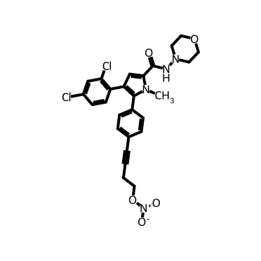 Cn1c(C(=O)NN2CCOCC2)cc(-c2ccc(Cl)cc2Cl)c1-c1ccc(C#CCCO[N+](=O)[O-])cc1